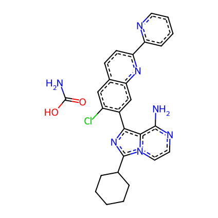 NC(=O)O.Nc1nccn2c(C3CCCCC3)nc(-c3cc4nc(-c5ccccn5)ccc4cc3Cl)c12